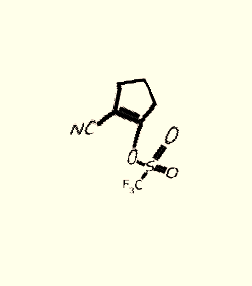 N#CC1=C(OS(=O)(=O)C(F)(F)F)CCC1